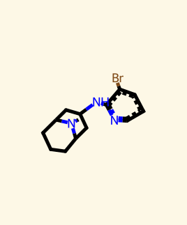 CN1C2CCCC1CC(Nc1ncccc1Br)C2